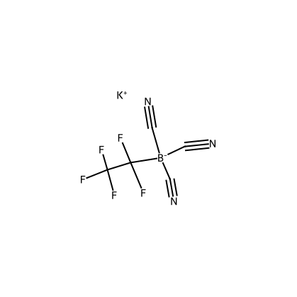 N#C[B-](C#N)(C#N)C(F)(F)C(F)(F)F.[K+]